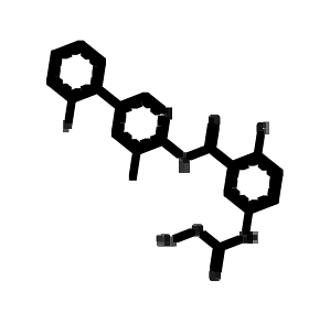 Cc1cc(-c2ccccc2F)cnc1NC(=O)c1cc(NC(=O)OC(C)(C)C)ccc1Cl